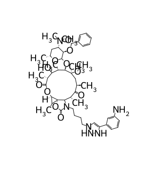 CO[C@@]1(C)C[C@@H](C)C(=O)[C@H](C)C2N(CCCCN3C=C(c4cccc(N)c4)NN3)C(=O)O[C@@]23C(C)[C@H]3OC(=O)[C@H](C)[C@@H](O)[C@H](C)[C@H]1OC1O[C@H](C)C[C@H](N(C)C)[C@H]1OC(=O)c1ccccc1